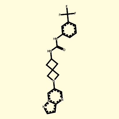 O=C(Nc1cccc(C(F)(F)F)c1)NC1CC2(C1)CN(c1cnc3ccnn3c1)C2